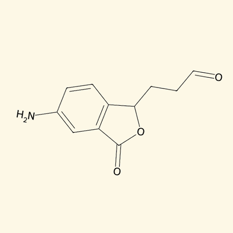 Nc1ccc2c(c1)C(=O)OC2CCC=O